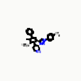 Cc1c(-c2ccccc2)cc(-c2cn(-c3ccc(C(F)(F)F)cc3)nn2)c(C2CCNCC2)c1C(=O)O